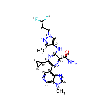 Cc1nn(CCC(F)F)cc1Nc1nc(C2CC2)c(-c2cncc3c2ncn3C)nc1C(N)=O